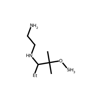 CCC(NCCN)C(C)(C)O[SiH3]